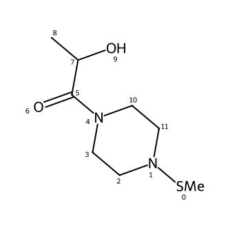 CSN1CCN(C(=O)C(C)O)CC1